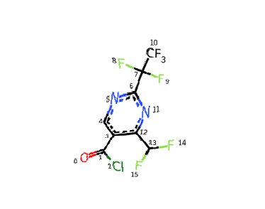 O=C(Cl)c1cnc(C(F)(F)C(F)(F)F)nc1C(F)F